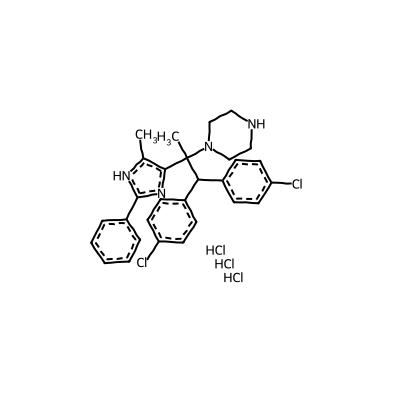 Cc1[nH]c(-c2ccccc2)nc1C(C)(C(c1ccc(Cl)cc1)c1ccc(Cl)cc1)N1CCNCC1.Cl.Cl.Cl